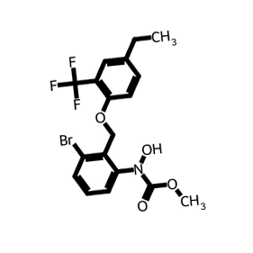 CCc1ccc(OCc2c(Br)cccc2N(O)C(=O)OC)c(C(F)(F)F)c1